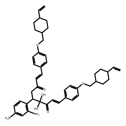 C=CC1CCC(COc2ccc(/C=C/C(=O)CC(c3ccc(N)cc3N)C(O)(O)C(=O)/C=C/c3ccc(OCC4CCC(C=C)CC4)cc3)cc2)CC1